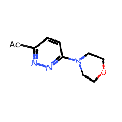 CC(=O)c1ccc(N2CCOCC2)nn1